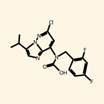 CC(C)c1cnc2c(N(Cc3ccc(F)cc3F)C(=O)O)cc(Cl)nn12